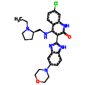 CCN1CCC[C@@H]1CNc1c(-c2nc3cc(N4CCOCC4)ccc3[nH]2)c(=O)[nH]c2cc(Cl)ccc12